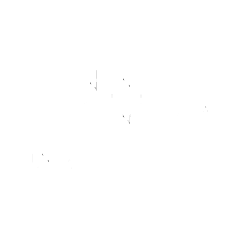 CC(=O)c1cccc(-c2cnc3[nH]cc(C=CC(N)=O)c3n2)c1